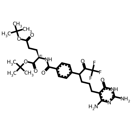 CC(C)(C)OC(=O)CC[C@@H](NC(=O)c1ccc(C(CCCc2c(N)nc(N)[nH]c2=O)C(=O)C(F)(F)F)cc1)C(=O)OC(C)(C)C